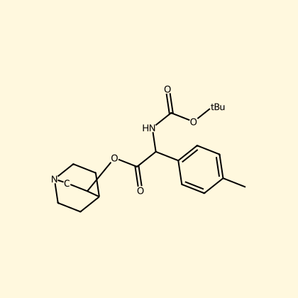 Cc1ccc(C(NC(=O)OC(C)(C)C)C(=O)OC2CN3CCC2CC3)cc1